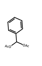 CC(=O)OC(OC(C)=O)c1ccccc1